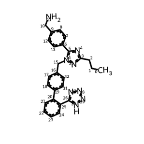 CCCc1nc(-c2ccc(CN)cc2)n(Cc2ccc(-c3ccccc3-c3nnn[nH]3)cc2)n1